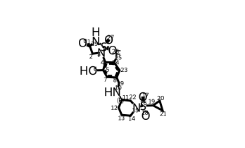 O=C1CN(c2c(O)cc(CN[C@@H]3CCCN(S(=O)(=O)C4CC4)C3)cc2F)S(=O)(=O)N1